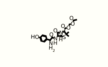 CC(=O)OCOC(=O)[C@@H]1N2C(=O)C(NC(=O)C(N)c3ccc(O)cc3)[C@H]2SC1(C)C